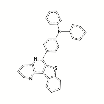 c1ccc(B(c2ccccc2)c2ccc(-c3nc4cccnc4c4c3sc3ccccc34)cc2)cc1